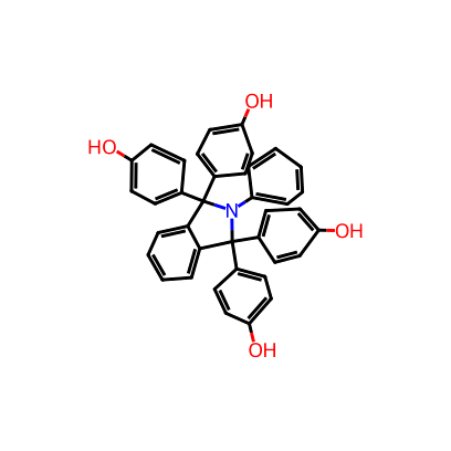 Oc1ccc(C2(c3ccc(O)cc3)c3ccccc3C(c3ccc(O)cc3)(c3ccc(O)cc3)N2c2ccccc2)cc1